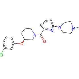 CN1CCN(c2cccc(C(=O)N3CCC[C@H](Oc4cccc(Cl)c4)C3)n2)CC1